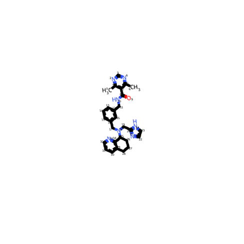 Cc1ncnc(C)c1C(=O)NCc1cccc(CN(Cc2ncc[nH]2)C2CCCc3cccnc32)c1